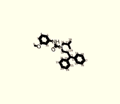 COc1cccc(NC(=O)N(CCC(c2ccccc2)c2ccccc2)CC(C)C)c1